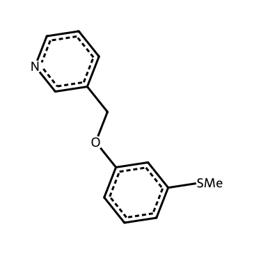 CSc1cccc(OCc2cccnc2)c1